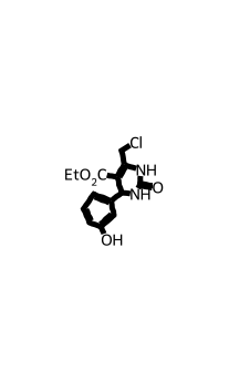 CCOC(=O)C1=C(CCl)NC(=O)NC1c1cccc(O)c1